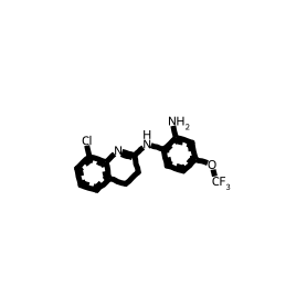 Nc1cc(OC(F)(F)F)ccc1NC1=Nc2c(Cl)cccc2CC1